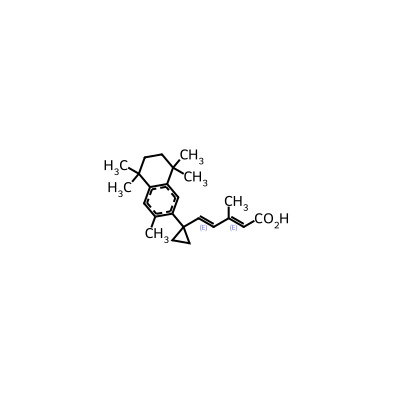 CC(/C=C/C1(c2cc3c(cc2C)C(C)(C)CCC3(C)C)CC1)=C\C(=O)O